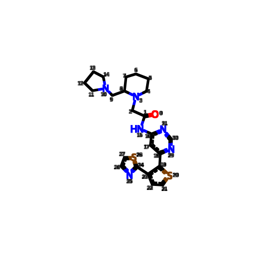 O=C(CN1CCCCC1CN1CCCC1)Nc1cc(-c2sccc2-c2nccs2)ncn1